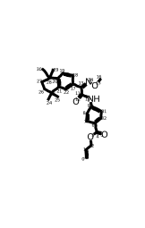 C=CCOC(=O)c1ccc(NC(=O)C(=NOC)c2ccc3c(c2)C(C)(C)CCC3(C)C)cc1